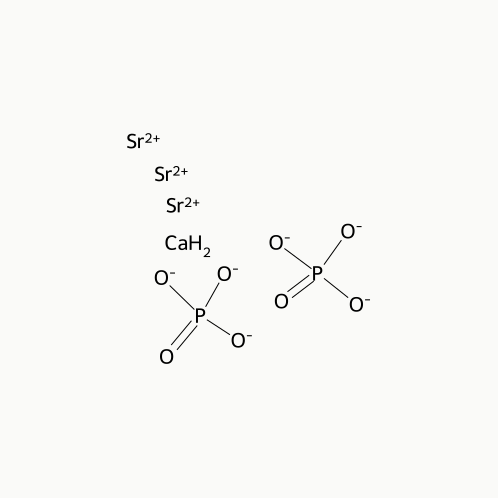 O=P([O-])([O-])[O-].O=P([O-])([O-])[O-].[CaH2].[Sr+2].[Sr+2].[Sr+2]